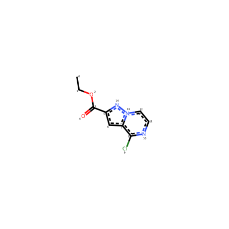 CCOC(=O)c1cc2c(Cl)nccn2n1